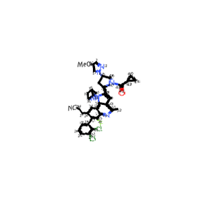 COc1cnn(C2CC(c3cc4c(C)nc5c(F)c(-c6cccc(Cl)c6Cl)c(CCC#N)cc5c4n3C3C4CNC3C4)N(C(=O)C3CC3)C2)c1